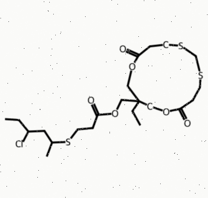 CCC(Cl)CC(C)SCCC(=O)OCC1(CC)COC(=O)CCSCSCCC(=O)OC1